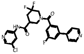 O=C(Nc1cncc(Cl)c1)C1CN(C(=O)c2cc(F)cc(-c3ccncc3)c2)CC(F)(F)C1